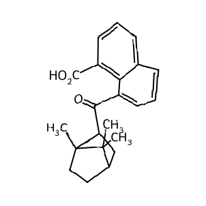 CC1(C)C2CCC1(C)C(C(=O)c1cccc3cccc(C(=O)O)c13)C2